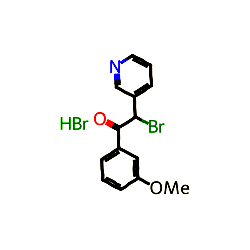 Br.COc1cccc(C(=O)C(Br)c2cccnc2)c1